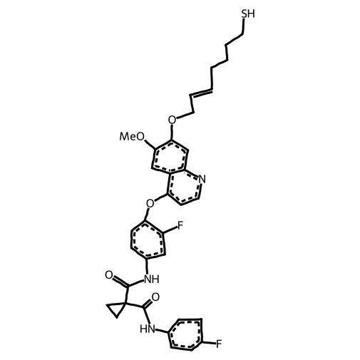 COc1cc2c(Oc3ccc(NC(=O)C4(C(=O)Nc5ccc(F)cc5)CC4)cc3F)ccnc2cc1OC/C=C/CCCCS